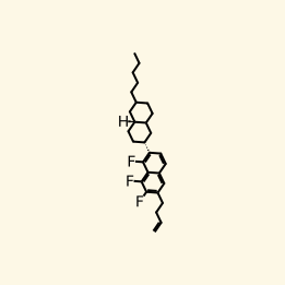 C=CCCc1cc2ccc([C@@H]3CC[C@@H]4CC(CCCCC)CCC4C3)c(F)c2c(F)c1F